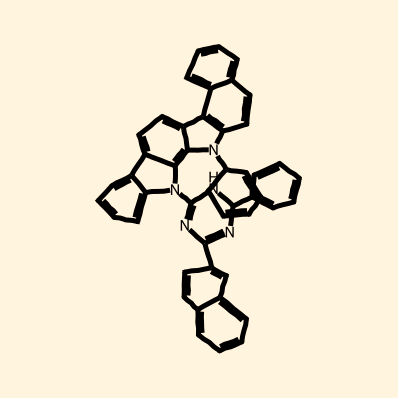 C1=CCC(n2c3ccc4ccccc4c3c3ccc4c5ccccc5n(C5=NC(c6ccc7ccccc7c6)=NC(c6ccccc6)N5)c4c32)C=C1